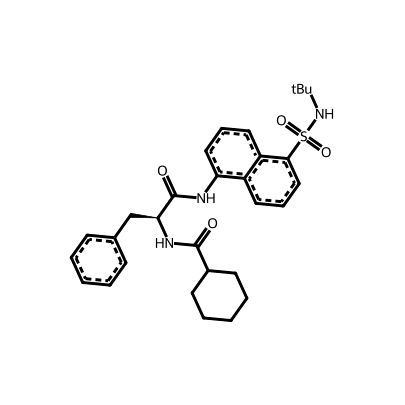 CC(C)(C)NS(=O)(=O)c1cccc2c(NC(=O)[C@H](Cc3ccccc3)NC(=O)C3CCCCC3)cccc12